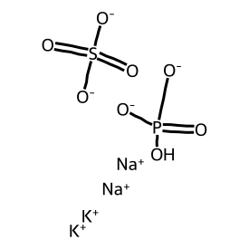 O=P([O-])([O-])O.O=S(=O)([O-])[O-].[K+].[K+].[Na+].[Na+]